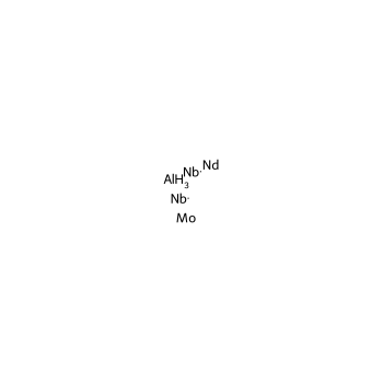 [AlH3].[Mo].[Nb].[Nb].[Nd]